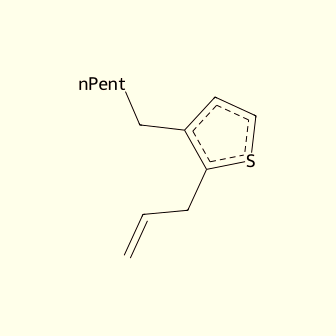 C=CCc1sccc1CCCCCC